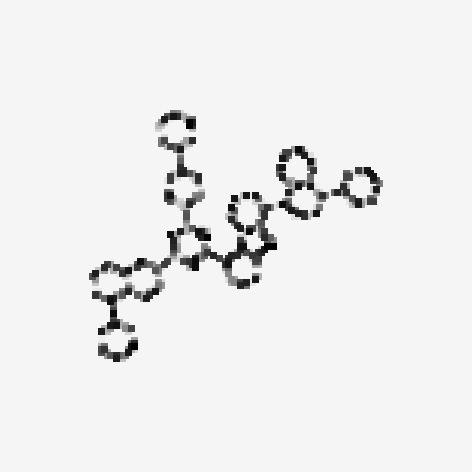 c1ccc(-c2ccc(-c3nc(-c4ccc5c(-c6ccccc6)cccc5c4)nc(-c4cccc5oc6c(-c7ccc(-c8ccccc8)c8ccccc78)cccc6c45)n3)cc2)cc1